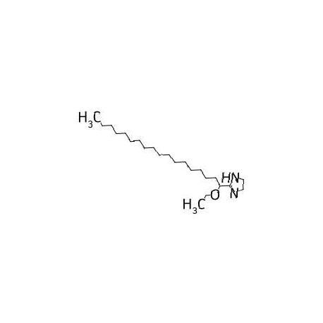 CCCCCCCCCCCCCCCCCC(OCC)C1=NCCN1